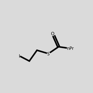 CCCC(=O)SCCI